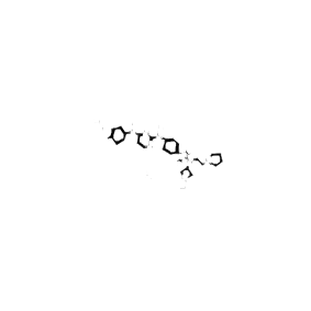 Cc1cc(Nc2ccnc(Nc3ccc(S(=O)(=O)N(CCN4CCCC4)C4CNC4)cc3)n2)ccc1F.Cl